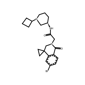 O=C(CN1CC2(CC2)c2cc(Br)ccc2C1=O)N[C@@H]1CCCN(C2CCC2)C1